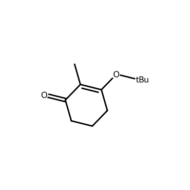 CC1=C(OC(C)(C)C)CCCC1=O